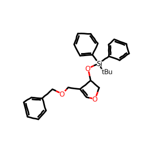 CC(C)(C)[Si](OC1COC=C1COCc1ccccc1)(c1ccccc1)c1ccccc1